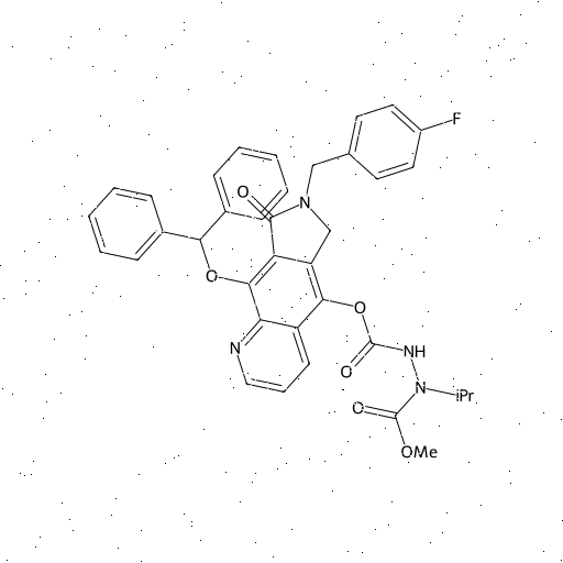 COC(=O)N(NC(=O)Oc1c2c(c(OC(c3ccccc3)c3ccccc3)c3ncccc13)C(=O)N(Cc1ccc(F)cc1)C2)C(C)C